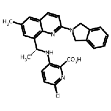 Cc1cc([C@@H](C)Nc2ccc(Cl)nc2C(=O)O)c2nc(N3Cc4ccccc4C3)ccc2c1